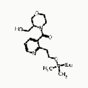 CC(C)(C)[Si](C)(C)OCCc1ncccc1C(=O)N1CCOCC1CO